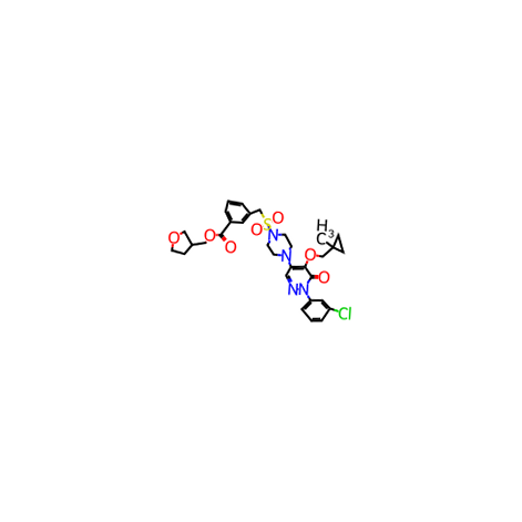 CC1(COc2c(N3CCN(S(=O)(=O)Cc4cccc(C(=O)OCC5CCOC5)c4)CC3)cnn(-c3cccc(Cl)c3)c2=O)CC1